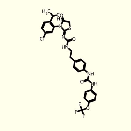 CC(C)c1ccc(Cl)cc1N1C(=O)CS/C1=N\C(=O)NCCc1ccc(NC(=O)Nc2ccc(OC(F)(F)F)cc2)cc1